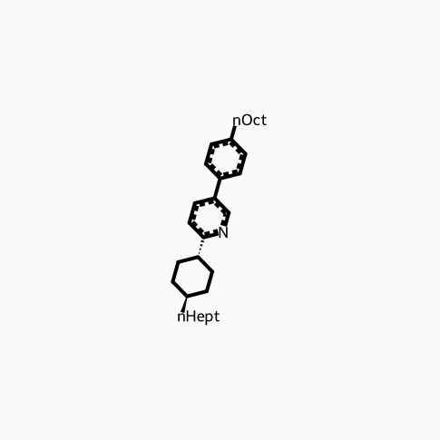 CCCCCCCCc1ccc(-c2ccc([C@H]3CC[C@H](CCCCCCC)CC3)nc2)cc1